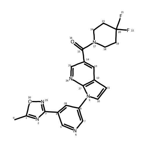 Cc1nc(-c2cncc(-n3ccc4cc(C(=O)N5CCC(F)(F)CC5)cnc43)c2)no1